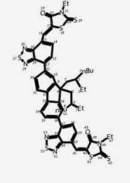 CCCCC(CC)CC1(CC(CC)CCCC)c2cc(-c3ccc(/C=C4\SC(=S)N(CC)C4=O)c4nsnc34)ccc2-c2ccc(-c3ccc(/C=C4/SC(=S)N(CC)C4=O)c4nsnc34)cc21